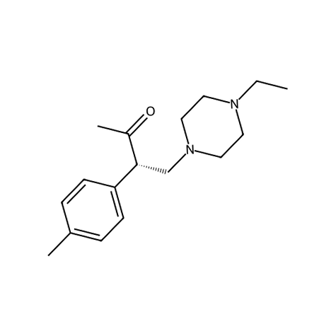 CCN1CCN(C[C@@H](C(C)=O)c2ccc(C)cc2)CC1